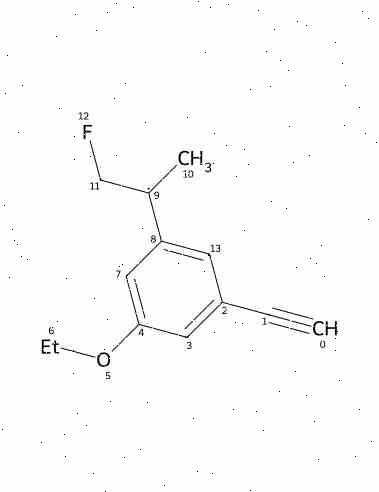 C#Cc1cc(OCC)cc([C](C)CF)c1